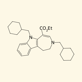 CCOC(=O)C1=CN(CC2CCCCC2)CCc2c1n(CC1CCCCC1)c1ccccc21